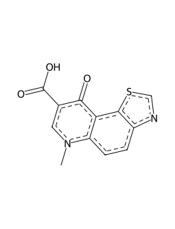 Cn1cc(C(=O)O)c(=O)c2c3scnc3ccc21